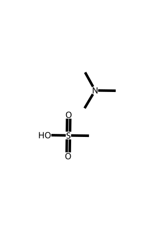 CN(C)C.CS(=O)(=O)O